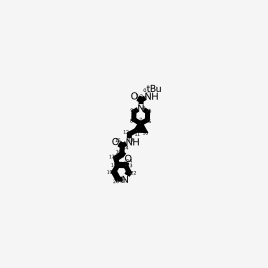 CC(C)(C)NC(=O)N1CCC2(CC1)CC2CNC(=O)c1cc2ccncc2o1